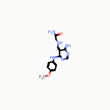 N=C1N=CN=C(Nc2ccc(OC(F)(F)F)cc2)/C1=C/NCC(N)=O